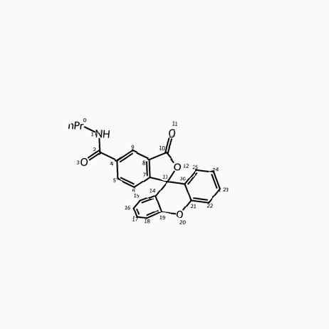 CCCNC(=O)c1ccc2c(c1)C(=O)OC21c2cc[c]cc2Oc2c[c]ccc21